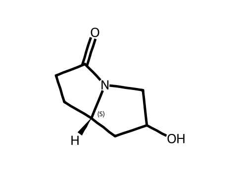 O=C1CC[C@H]2CC(O)CN12